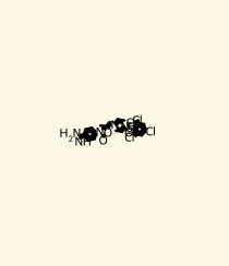 N=C(N)c1ccc(N2CC(CN3CCN(S(=O)(=O)c4c(Cl)cc(Cl)cc4Cl)CC3)OC2=O)cc1